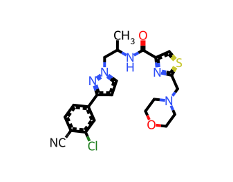 CC(Cn1ccc(-c2ccc(C#N)c(Cl)c2)n1)NC(=O)c1csc(CN2CCOCC2)n1